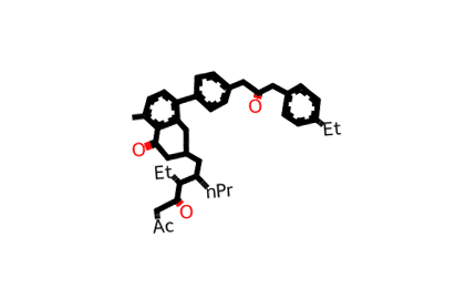 CCCC(CC1CC(=O)c2c(C)ccc(-c3ccc(CC(=O)Cc4ccc(CC)cc4)cc3)c2C1)C(CC)C(=O)CC(C)=O